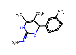 CC1=C(C(=O)O)C(c2cccc([N+](=O)[O-])c2)N/C(=N/[N+](=O)[O-])N1